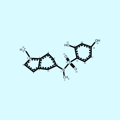 CN(c1ccc2c(ccn2C)c1)S(=O)(=O)c1ccc(O)cc1O